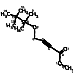 COC(=O)C#CCO[Si](C)(C)C(C)(C)C